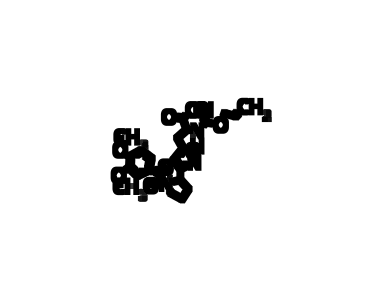 C=CCOC(=O)NC(Cc1cc(C2CCCN2S(=O)(=O)c2ccc(OC)c(OC)c2)no1)C(=O)O